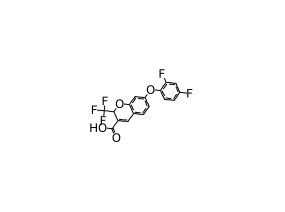 O=C(O)C1=Cc2ccc(Oc3ccc(F)cc3F)cc2OC1C(F)(F)F